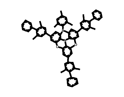 Cc1cc(C)c(B2c3cc(-c4cc(C)c(-c5ccccc5)c(C)c4)cc4c3N3c5c(cc(-c6cc(C)c(-c7ccccc7)c(C)c6)cc5Oc5cc(-c6cc(C)c(-c7ccccc7)c(C)c6)cc2c53)O4)c(C)c1